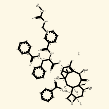 CC(=O)O[C@H]1C(=O)[C@@]2(C)[C@H]([C@H](OC(=O)c3ccccc3)[C@]3(O)C[C@H](OC(=O)[C@H](OC(=O)c4ccc[n+](COC(=O)NC(C)C)c4)[C@@H](NC(=O)c4ccccc4)c4ccccc4)C(C)=C1C3(C)C)[C@]1(OC(C)=O)CO[C@@H]1C[C@@H]2O.[I-]